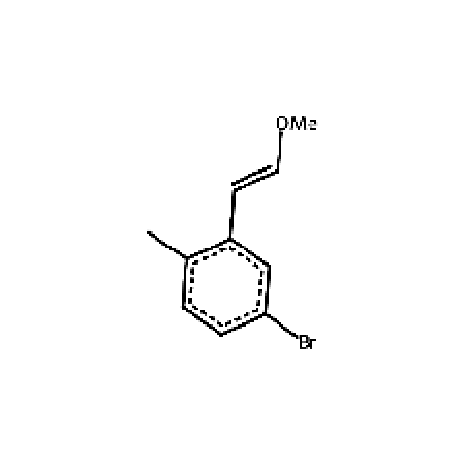 COC=Cc1cc(Br)ccc1C